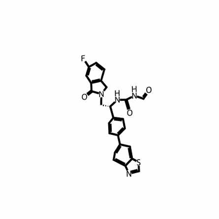 O=CNC(=O)N[C@@H](CN1Cc2ccc(F)cc2C1=O)c1ccc(-c2ccc3ncsc3c2)cc1